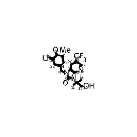 COc1ccc(Cn2c(=O)n(C(C)(C)CO)c3ncc(C(F)(F)F)cc32)cc1Cl